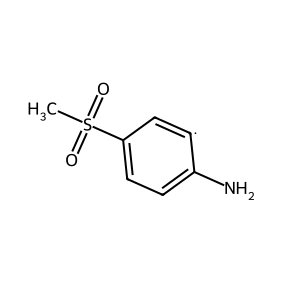 CS(=O)(=O)c1c[c]c(N)cc1